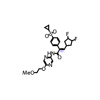 COCCOc1cnc(NC(=O)/C(=C/C2CC(F)C(F)C2)c2ccc(S(=O)(=O)C3CC3)cc2)cn1